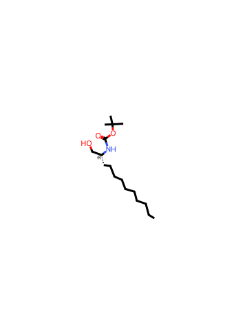 CCCCCCCCCC[C@H](CO)NC(=O)OC(C)(C)C